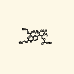 COC(=O)OCC(C)C(c1ccc(OC(=O)OCC(C)(C)C)c(OC(=O)OCC(C)(C)C)c1)[C@H](N)C(=O)O